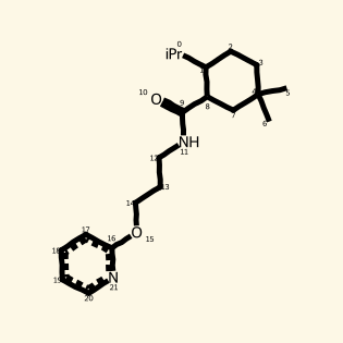 CC(C)C1CCC(C)(C)CC1C(=O)NCCCOc1ccccn1